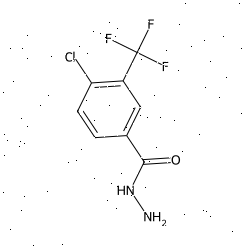 NNC(=O)c1ccc(Cl)c(C(F)(F)F)c1